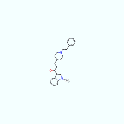 Cn1cc(C(=O)CCC2CCN(C=Cc3ccccc3)CC2)c2ccccc21